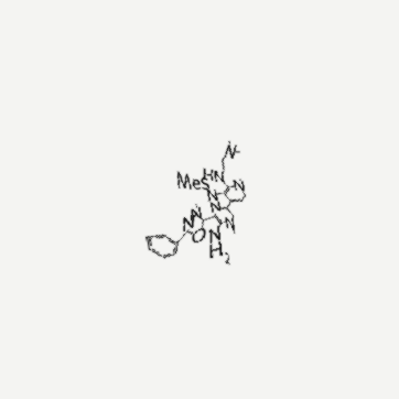 CSN(C)C1=C(NCCN(C)C)N(C)CC=C1C1=NC(C2OC(c3ccccc3)=NN2C)=C(N)N(C)C1